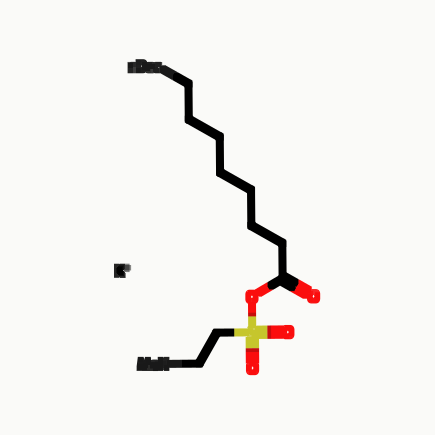 CCCCCCCCCCCCCCCCCC(=O)OS(=O)(=O)CC[N-]C.[K+]